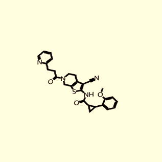 COc1ccccc1C1CC1C(=O)Nc1sc2c(c1C#N)CCN(C(=O)CCc1ccccn1)C2